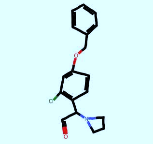 O=CC(c1ccc(OCc2ccccc2)cc1Cl)N1CCC1